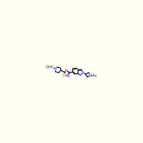 CC(=O)N1CC(n2cc3ccc(-c4noc(C5CCN(C=O)CC5)n4)cc3n2)C1